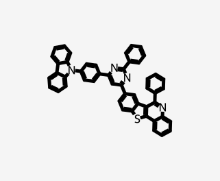 c1ccc(-c2nc(-c3ccc(-n4c5ccccc5c5ccccc54)cc3)cc(-c3ccc4sc5c6ccccc6nc(-c6ccccc6)c5c4c3)n2)cc1